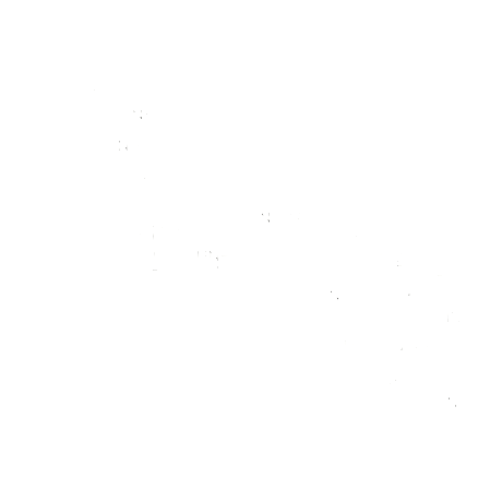 CN1CCC([C@@](O)(c2ccc3cnc(Nc4ccc(-n5cccn5)cc4F)cc3n2)C(F)(F)F)CC1